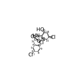 O=S(=O)(Cc1cc(Cl)ccc1Cl)Nc1ncc(Cl)cc1O